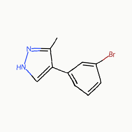 Cc1n[nH]cc1-c1cccc(Br)c1